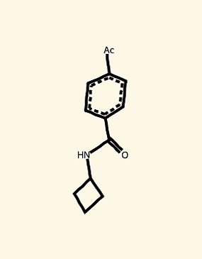 CC(=O)c1ccc(C(=O)NC2CCC2)cc1